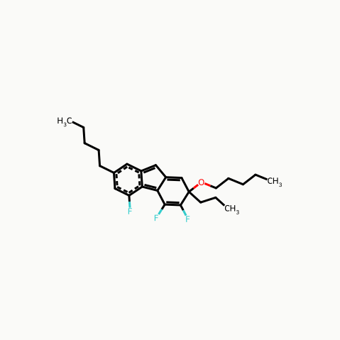 CCCCCOC1(CCC)C=C2C=c3cc(CCCCC)cc(F)c3=C2C(F)=C1F